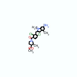 COC(=O)C1CCN(C(=O)c2ccc(Cl)c(Cc3cc4c(C)cc(N)cc4n3C)c2Cl)CC1C